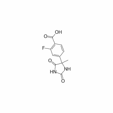 CC1(c2ccc(C(=O)O)c(F)c2)NC(=O)NC1=O